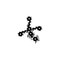 Fc1cc(OC(F)(F)c2c(F)cc(-c3c(OCCCc4ccccc4)cc(OCCCc4ccccc4)cc3OCCCc3ccccc3)cc2F)cc(F)c1F